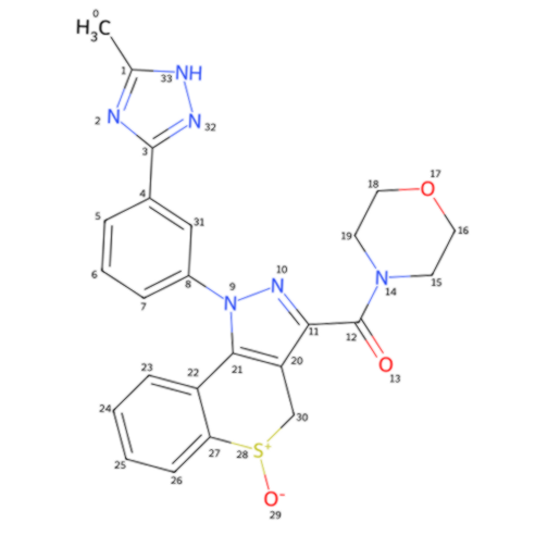 Cc1nc(-c2cccc(-n3nc(C(=O)N4CCOCC4)c4c3-c3ccccc3[S+]([O-])C4)c2)n[nH]1